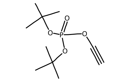 C#COP(=O)(OC(C)(C)C)OC(C)(C)C